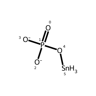 O=P([O-])([O-])[O][SnH3]